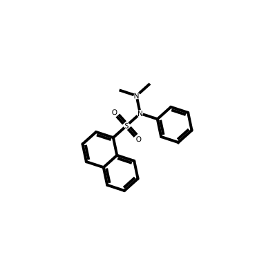 CN(C)N(c1c[c]ccc1)S(=O)(=O)c1cccc2ccccc12